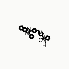 O=c1[nH]c2ccccc2n1C1CCN(Cc2ccc(-c3nc4cc5ccccc5cc4nc3-c3ccccc3)cc2)CC1